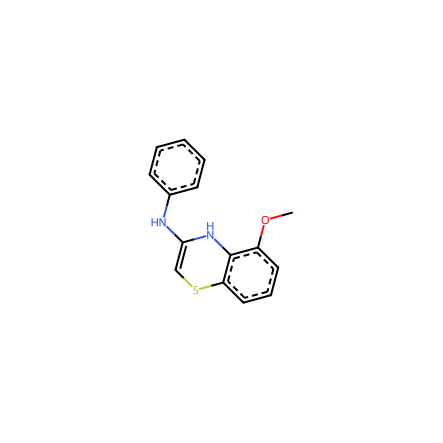 COc1cccc2c1NC(Nc1ccccc1)=CS2